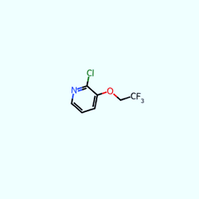 FC(F)(F)COc1cccnc1Cl